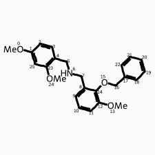 COc1ccc(CNCc2cccc(OC)c2OCc2ccccc2)c(OC)c1